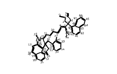 C=CCC1(CC=C)C(/C=C/C=C/C=C2/N(C)c3ccc4ccccc4c3C2(CC=C)Cc2ccccc2C)=[N+](C)c2ccc3ccccc3c21